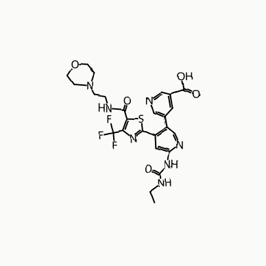 CCNC(=O)Nc1cc(-c2nc(C(F)(F)F)c(C(=O)NCCN3CCOCC3)s2)c(-c2cncc(C(=O)O)c2)cn1